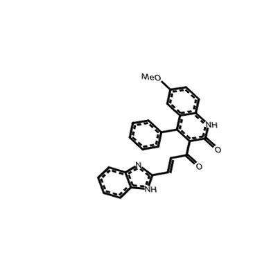 COc1ccc2[nH]c(=O)c(C(=O)C=Cc3nc4ccccc4[nH]3)c(-c3ccccc3)c2c1